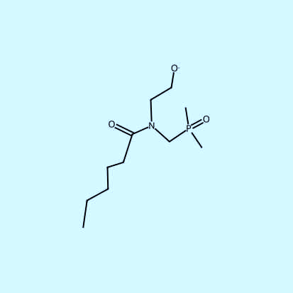 CCCCCC(=O)N(CC[O])CP(C)(C)=O